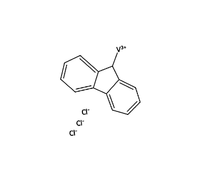 [Cl-].[Cl-].[Cl-].[V+3][CH]1c2ccccc2-c2ccccc21